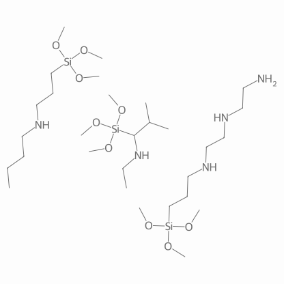 CCCCNCCC[Si](OC)(OC)OC.CCNC(C(C)C)[Si](OC)(OC)OC.CO[Si](CCCNCCNCCN)(OC)OC